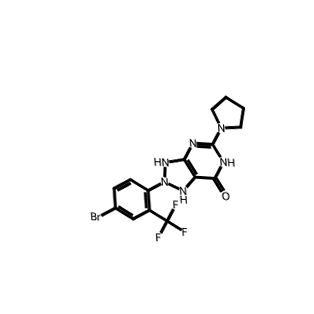 O=c1[nH]c(N2CCCC2)nc2c1NN(c1ccc(Br)cc1C(F)(F)F)N2